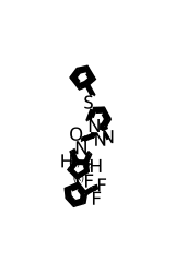 O=C(c1nnc2ccc(SCc3ccccc3)cn12)N1C[C@H]2C[C@@H](c3ccccc3C(F)(F)F)C[C@H]2C1